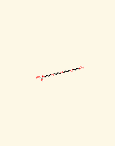 [O]=[Ti]([OH])[O]CCCCOCCCCOCCCCOCCCCO